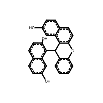 Oc1ccc2ccc(O)c(C3c4ccccc4Oc4ccc5ccc(O)cc5c43)c2c1